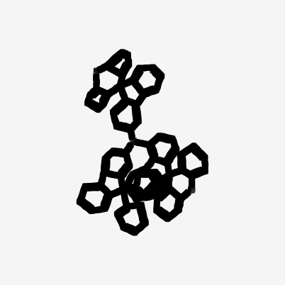 c1ccc(C2(c3ccccc3)c3ccccc3-c3ccc(N(c4ccc5c(c4)-c4ccccc4C54c5ccccc5Sc5ccccc54)c4cccc5c4-c4ccccc4C54c5ccccc5Oc5ccccc54)cc32)cc1